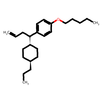 C=CCC(c1ccc(OCCCCC)cc1)[C@H]1CC[C@H](CCC)CC1